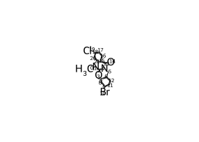 Cn1c(=O)n(Cc2ccc(Br)cc2)c(=O)c2ccc(Cl)cc21